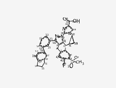 CS(=O)(=O)c1ccc(Cc2c(-c3cccc(-c4ccc5c(c4)CCC5)c3)nn(-c3nc(C(=O)O)cs3)c2CC2CC2)cc1F